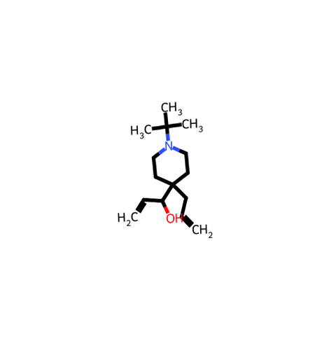 C=CCC1(C(O)C=C)CCN(C(C)(C)C)CC1